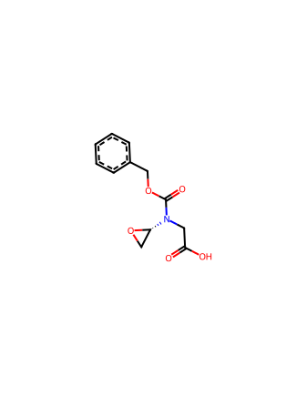 O=C(O)CN(C(=O)OCc1ccccc1)[C@@H]1CO1